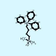 C[N+](C)([O-])CCCC[PH](c1ccccc1)(c1ccccc1)c1ccccc1